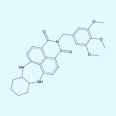 COc1cc(CN2C(=O)c3ccc4c5c(ccc(c35)C2=O)NC2CCCCC2N4)cc(OC)c1OC